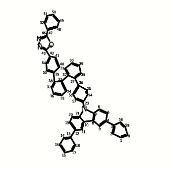 c1ccc(-c2ccc3c(c2)c2cc(-c4ccccc4)ccc2n3-c2ccc(-c3ccccc3-c3ccccc3-c3ccc(-c4nnc(-c5ccccc5)o4)cc3)cc2)cc1